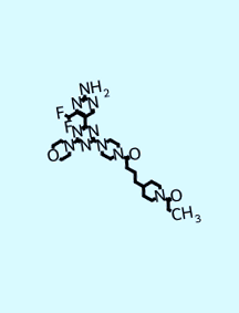 CCC(=O)N1CCC(CCCC(=O)N2CCN(c3nc(-c4cnc(N)nc4C(F)F)nc(N4CCOCC4)n3)CC2)CC1